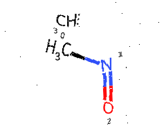 CN=O.[CH]